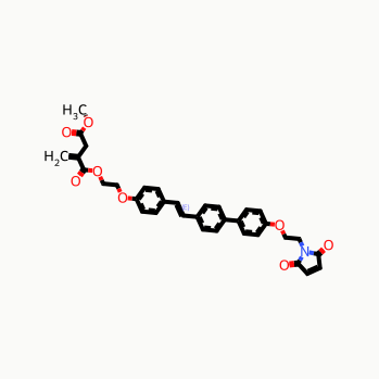 C=C(CC(=O)OC)C(=O)OCCOc1ccc(/C=C/c2ccc(-c3ccc(OCCN4C(=O)C=CC4=O)cc3)cc2)cc1